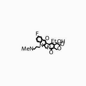 CC[C@@]1(O)C(=O)OCc2c1cc1n(c2=O)Cc2c-1c(=O)c1cc(F)ccc1n2CCCNC